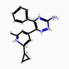 Cc1cc(-c2nnc(N)nc2-c2ccccc2)cc(C2CC2)n1